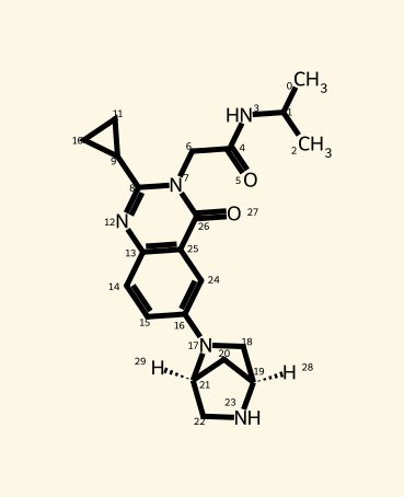 CC(C)NC(=O)Cn1c(C2CC2)nc2ccc(N3C[C@@H]4C[C@H]3CN4)cc2c1=O